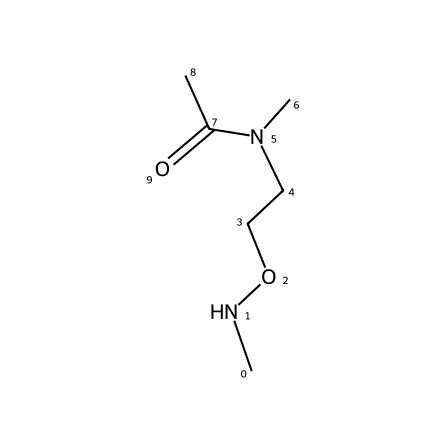 CNOCCN(C)C(C)=O